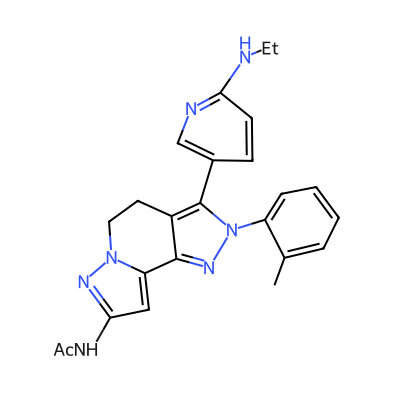 CCNc1ccc(-c2c3c(nn2-c2ccccc2C)-c2cc(NC(C)=O)nn2CC3)cn1